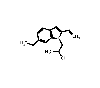 C=Cc1cc2ccc(CC)cc2n1CC(C)C